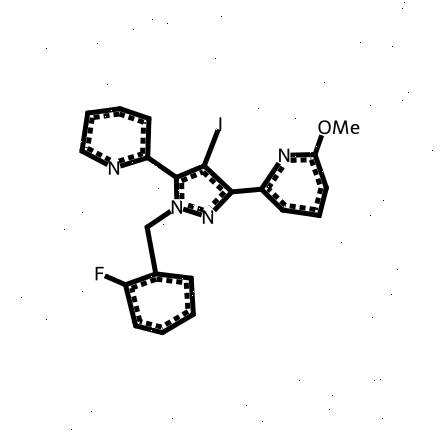 COc1cccc(-c2nn(Cc3ccccc3F)c(-c3ccccn3)c2I)n1